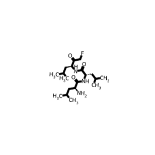 CC(C)C[C@H](NC(=O)[C@H](CC(C)C)NC(=O)[C@@H](N)CC(C)C)C(=O)CF